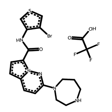 O=C(Nc1cscc1Br)c1ccc2ccc(N3CCCNCC3)nn12.O=C(O)C(F)(F)F